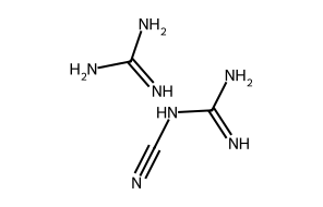 N#CNC(=N)N.N=C(N)N